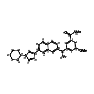 CCCN(c1cc(OC)cc(C(=O)NC)c1)c1ccc2ncc(-c3cnn(C4CCCCO4)c3)nc2c1